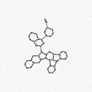 N#Cc1cccc(-c2nc(-n3c4cc5ccccc5cc4c4c5c6ccccc6n6c7ccccc7c(cc43)c56)nc3ccccc23)c1